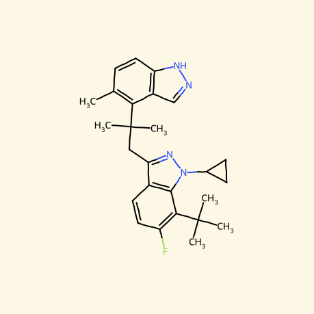 Cc1ccc2[nH]ncc2c1C(C)(C)Cc1nn(C2CC2)c2c(C(C)(C)C)c(F)ccc12